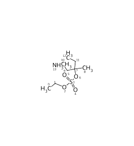 CCOS(=O)(=O)OC(C)(CC)CC.N